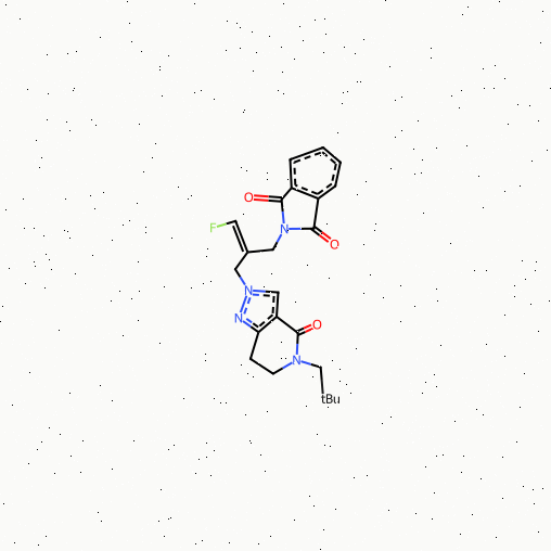 CC(C)(C)CN1CCc2nn(CC(=CF)CN3C(=O)c4ccccc4C3=O)cc2C1=O